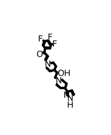 O=C(C=CN1CCC(C(O)CN2CCC(c3cc[nH]n3)CC2)CC1)c1cc(F)c(F)c(F)c1